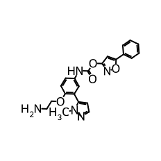 Cn1nccc1-c1cc(NC(=O)Oc2cc(-c3ccccc3)on2)ccc1OCCN